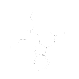 CCOP(=O)(Cc1sc2ccccc2c1CN(C)C)OCC